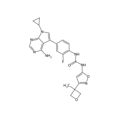 CC1(c2cc(NC(=O)Nc3ccc(-c4cn(C5CC5)c5ncnc(N)c45)cc3F)on2)COC1